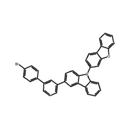 Brc1ccc(-c2cccc(-c3ccc4c(c3)c3ccccc3n4-c3ccc4c(c3)oc3ccccc34)c2)cc1